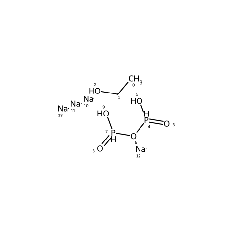 CCO.O=[PH](O)O[PH](=O)O.[Na].[Na].[Na].[Na]